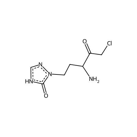 NC(CCn1nc[nH]c1=O)C(=O)CCl